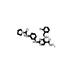 NC(=O)c1cnc(Nc2cccc(NC(=O)N3CCCC3)c2)nc1NCc1ccccc1F